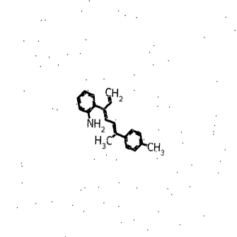 C=C/C(=C\C=C(/C)c1ccc(C)cc1)c1ccccc1N